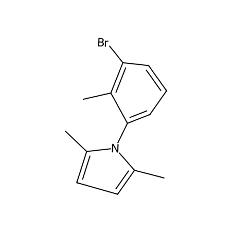 Cc1c(Br)cccc1-n1c(C)ccc1C